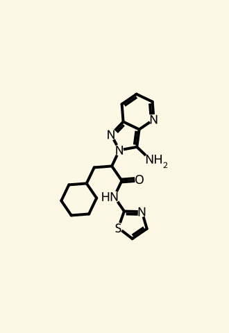 Nc1c2ncccc2nn1C(CC1CCCCC1)C(=O)Nc1nccs1